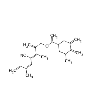 C=C/C(C)=C\C(C#N)=C(/C)C(=C)COC(=C)C1CC(=C)C(=C)C(C)C1